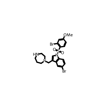 COc1ccc(S(=O)(=O)n2cc(CN3CCCNCC3)c3cc(Br)ccc32)c(Br)c1